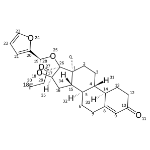 C[C@]12CC[C@H]3[C@@H](CCC4=CC(=O)CC[C@@H]43)[C@@H]1C[C@H]1O[C@@H](c3ccco3)O[C@]12C(=O)C[18F]